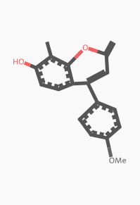 C=C1C=C(c2ccc(OC)cc2)c2ccc(O)c(C)c2O1